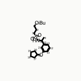 CC(C)COCCCS(=O)(=O)NC(C)c1cccc(OC2CCCC2)c1